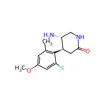 COc1cc(C)c([C@@H]2CC(=O)NC[C@H]2N)c(F)c1